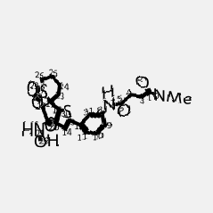 CNC(=O)CCC(=O)Nc1cccc(-c2ccc([C@@]3(CC(=O)NO)CCCCS3(=O)=O)s2)c1